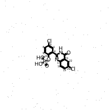 O=c1[nH]c(-c2cc(Cl)ccc2OP(=O)(O)O)nc2ccc(Cl)cc12